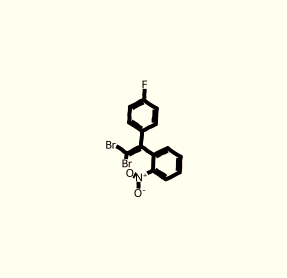 O=[N+]([O-])c1ccccc1C(=C(Br)Br)c1ccc(F)cc1